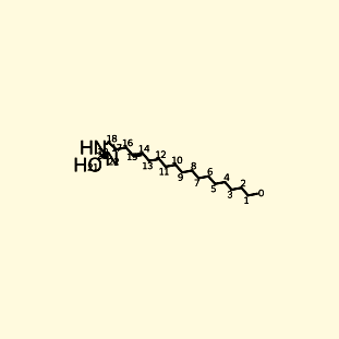 CCCCCCCCCCCCCCC=CCC1CNC(O)=N1